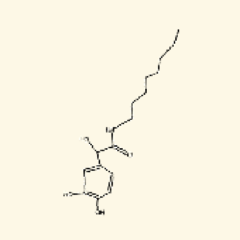 CCCCCCCCNC(=O)C(O)c1ccc(O)c(O)c1